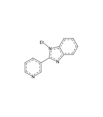 CCn1c(-c2cccnc2)nc2ccccc21